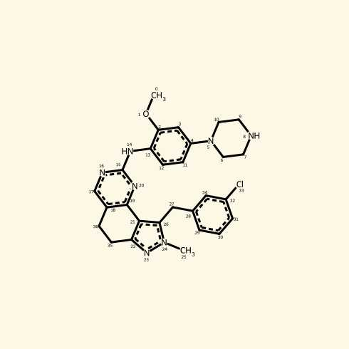 COc1cc(N2CCNCC2)ccc1Nc1ncc2c(n1)-c1c(nn(C)c1Cc1cccc(Cl)c1)CC2